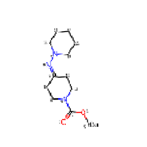 CC(C)(C)OC(=O)N1CCC(=NN2CCCCC2)CC1